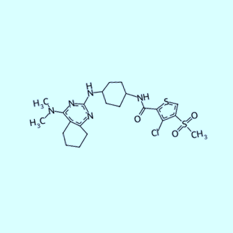 CN(C)c1nc(NC2CCC(NC(=O)c3scc(S(C)(=O)=O)c3Cl)CC2)nc2c1CCCC2